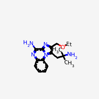 CCOCc1nc2c(N)nc3ccccc3n2c1CC(C)(C)N